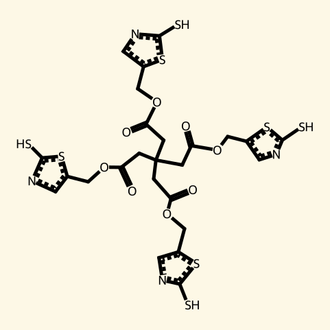 O=C(CC(CC(=O)OCc1cnc(S)s1)(CC(=O)OCc1cnc(S)s1)CC(=O)OCc1cnc(S)s1)OCc1cnc(S)s1